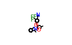 CC(C)CC(Oc1ccc(C#N)c(C(F)(F)F)c1)C(=O)N1Cc2ccccc2C1C